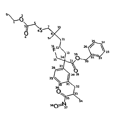 CCOC(=O)CSCC(C)(C)CCCC(CF)(C(=O)OCc1ccccc1)c1cccc(CC(C)C(=O)N=O)c1